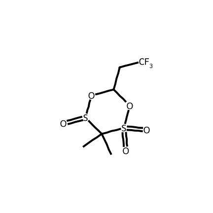 CC1(C)S(=O)OC(CC(F)(F)F)OS1(=O)=O